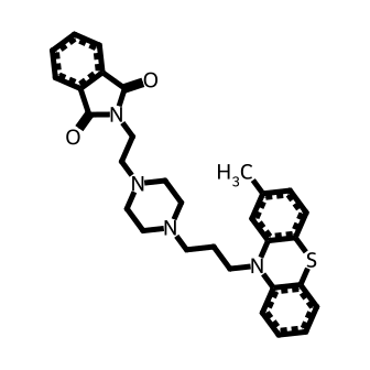 Cc1ccc2c(c1)N(CCCN1CCN(CCN3C(=O)c4ccccc4C3=O)CC1)c1ccccc1S2